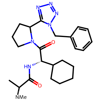 CNC(C)C(=O)N[C@H](C(=O)N1CCCC1c1nnnn1Cc1ccccc1)C1CCCCC1